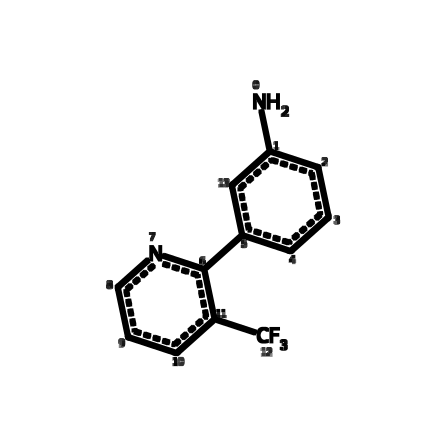 Nc1cccc(-c2ncccc2C(F)(F)F)c1